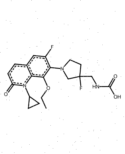 CCOc1c(N2CCC(F)(CNC(=O)O)C2)c(F)cc2ccc(=O)n(C3CC3)c12